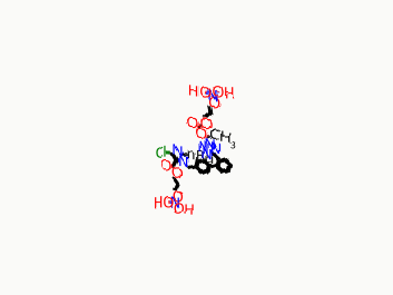 CCCCc1nc(Cl)c(C(=O)OCCCON(O)O)n1Cc1ccc(-c2ccccc2-c2nnn(C(C)OC(=O)OCCCON(O)O)n2)cc1